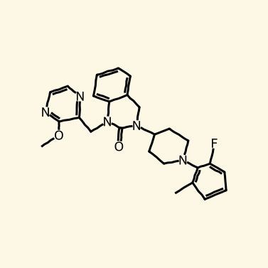 COc1nccnc1CN1C(=O)N(C2CCN(c3c(C)cccc3F)CC2)Cc2ccccc21